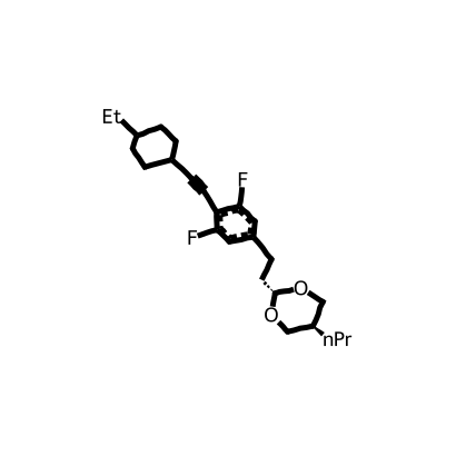 CCC[C@H]1CO[C@H](CCc2cc(F)c(C#CC3CCC(CC)CC3)c(F)c2)OC1